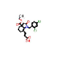 CCOC(=O)C12CCCC(C=CC(=O)O)=C1N(Cc1ccc(Cl)cc1Cl)C(=O)C2